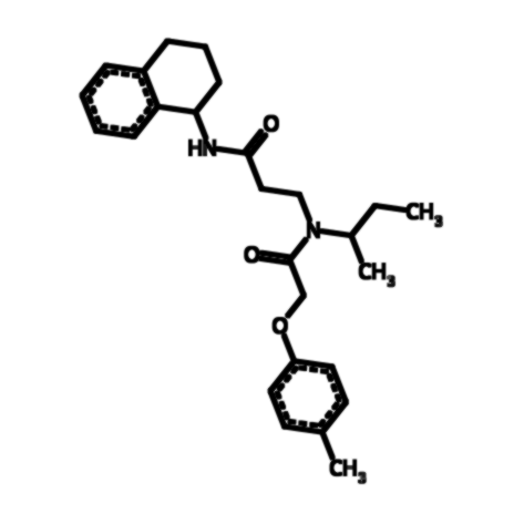 CCC(C)N(CCC(=O)NC1CCCc2ccccc21)C(=O)COc1ccc(C)cc1